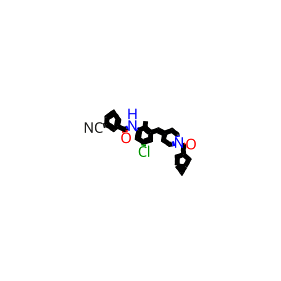 Cc1c(C=C2CCN(C(=O)C3CC4CC4C3)CC2)cc(Cl)cc1NC(=O)c1cccc(C#N)c1